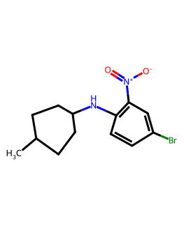 CC1CCC(Nc2ccc(Br)cc2[N+](=O)[O-])CC1